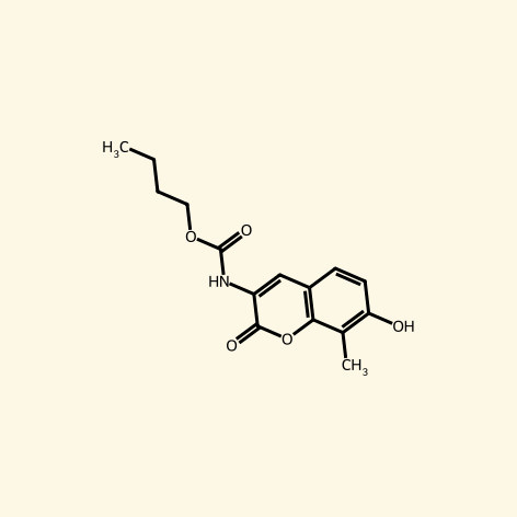 CCCCOC(=O)Nc1cc2ccc(O)c(C)c2oc1=O